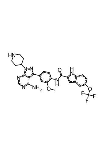 COc1cc(-c2nn(C3CCNCC3)c3ncnc(N)c23)ccc1NC(=O)c1cc2cc(OC(F)(F)F)ccc2[nH]1